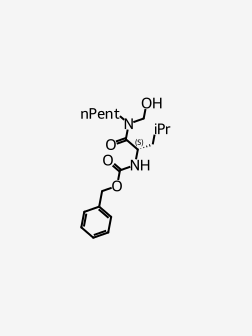 CCCCCN(CO)C(=O)[C@H](CC(C)C)NC(=O)OCc1ccccc1